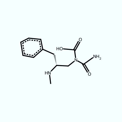 CN[C@H](Cc1ccccc1)CN(C(N)=O)C(=O)O